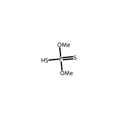 COP(=S)(S)OC